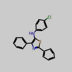 Clc1ccc(Nc2sc(-c3ccccc3)nc2-c2ccccc2)cc1